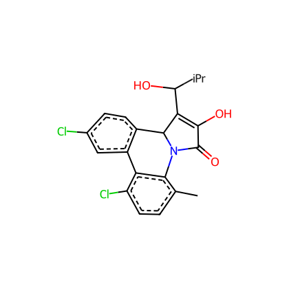 Cc1ccc(Cl)c2c1N1C(=O)C(O)=C(C(O)C(C)C)C1c1ccc(Cl)cc1-2